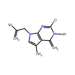 C=C(CC)Cn1cc(C)c2c1N=C(Cl)N(CCC)C2=C